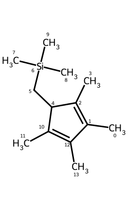 CC1=C(C)C(C[Si](C)(C)C)C(C)=C1C